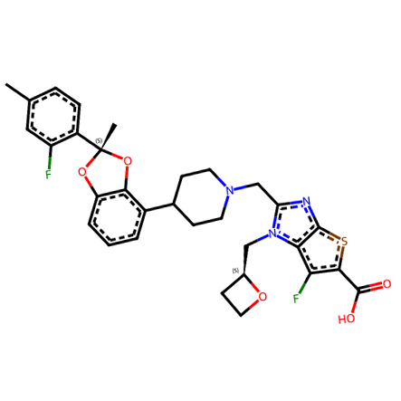 Cc1ccc([C@@]2(C)Oc3cccc(C4CCN(Cc5nc6sc(C(=O)O)c(F)c6n5C[C@@H]5CCO5)CC4)c3O2)c(F)c1